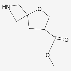 COC(=O)C1COC2(CNC2)C1